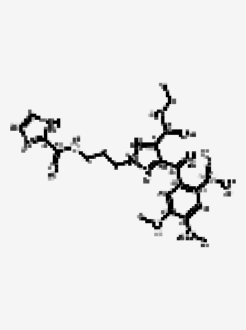 CCOC(=O)c1nn(CCCOC(=O)c2ncc[nH]2)nc1C(=O)c1cc(OC)c(OC)cc1[N+](=O)[O-]